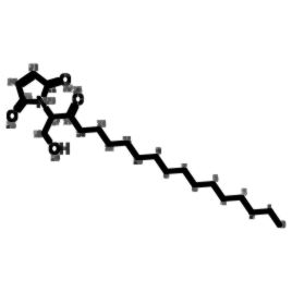 CCCCCCCCCCCCCCCC(=O)C(CO)N1C(=O)C=CC1=O